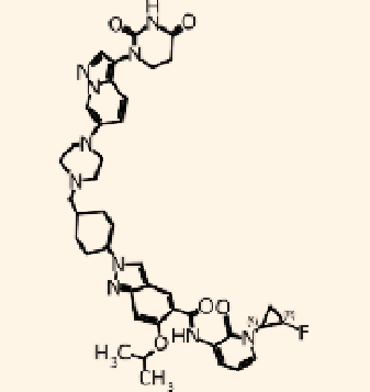 CC(C)Oc1cc2nn(C3CCC(CN4CCN(c5ccc6c(N7CCC(=O)NC7=O)cnn6c5)CC4)CC3)cc2cc1C(=O)Nc1cccn([C@H]2C[C@H]2F)c1=O